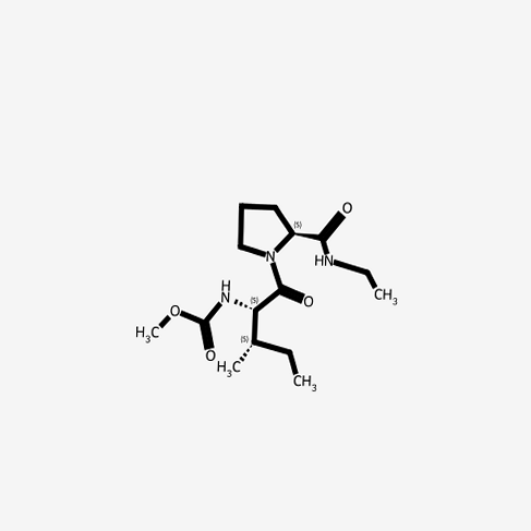 CCNC(=O)[C@@H]1CCCN1C(=O)[C@@H](NC(=O)OC)[C@@H](C)CC